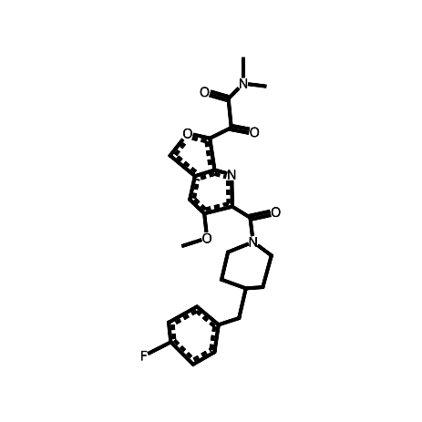 COc1cc2coc(C(=O)C(=O)N(C)C)c2nc1C(=O)N1CCC(Cc2ccc(F)cc2)CC1